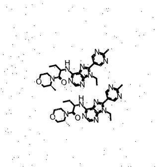 CCC(Nc1ncnc2c1nc(-c1cnc(C)nc1)n2CC)C(=O)N1CCOC[C@@H]1C.CCC(Nc1ncnc2c1nc(-c1cnc(C)nc1)n2CC)C(=O)N1CCOC[C@H]1C